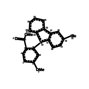 COC(=O)c1ccc(OC)cc1-n1c2ccc(C(C)(C)C)cc2c2cccnc21